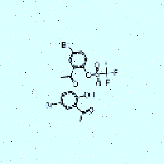 CC(=O)c1cc(Br)ccc1O.CC(=O)c1cc(Br)ccc1OS(=O)(=O)C(F)(F)F